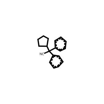 N#CC(c1ccccc1)(c1ccccc1)C1CCCC1